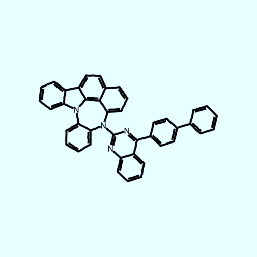 c1ccc(-c2ccc(-c3nc(-n4c5cccc6ccc7c8ccccc8n(c8ccccc84)c7c65)nc4ccccc34)cc2)cc1